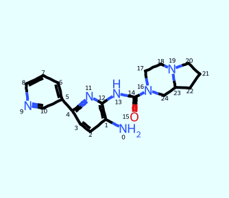 Nc1ccc(-c2cccnc2)nc1NC(=O)N1CCN2CCCC2C1